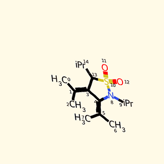 CC(C)=C1C(=C(C)C)N(C(C)C)S(=O)(=O)C1C(C)C